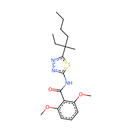 CCCCC(C)(CC)c1nnc(NC(=O)c2c(OC)cccc2OC)s1